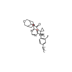 [C-]#[N+]c1ccc(Nc2cc(OC3C4COCC3CN(C(=O)OC3(C)CC3)C4)ncn2)c(F)c1